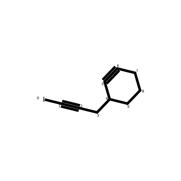 IC#CCC1C#CCCC1